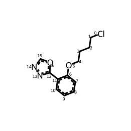 ClCCCCOc1ccccc1-c1nnco1